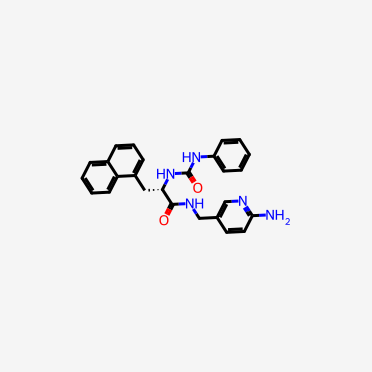 Nc1ccc(CNC(=O)[C@H](Cc2cccc3ccccc23)NC(=O)Nc2ccccc2)cn1